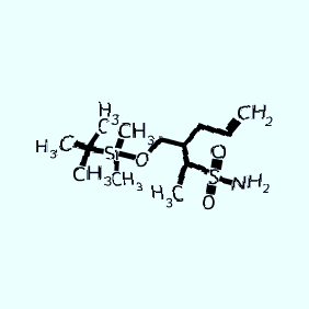 C=CCC(CO[Si](C)(C)C(C)(C)C)C(C)S(N)(=O)=O